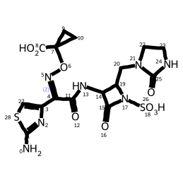 Nc1nc(/C(=N/OC2(C(=O)O)CC2)C(=O)NC2C(=O)N(S(=O)(=O)O)C2CN2CCNC2=O)cs1